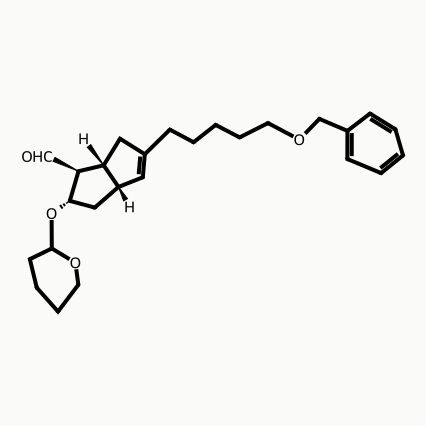 O=C[C@H]1[C@@H]2CC(CCCCCOCc3ccccc3)=C[C@@H]2C[C@@H]1OC1CCCCO1